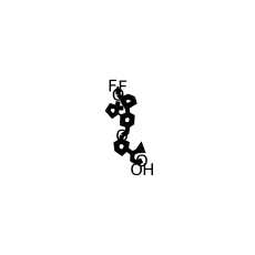 CC1(C)CCC[C@@H]1c1cc(COc2cccc(C(CC(=O)O)C3CC3)c2)ccc1-c1cccc(OC(F)F)c1